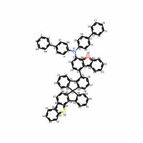 c1ccc(-c2ccc(N(c3ccc(-c4ccccc4)cc3)c3ccc(-c4cccc5c4-c4ccccc4C54c5ccccc5-c5c4ccc4c5sc5ccccc54)c4c3oc3ccccc34)cc2)cc1